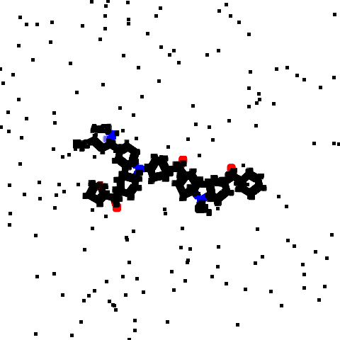 CC=C/C(=N\OC(C)=O)c1ccc2c(c1)c1cc(C(=O)c3cccs3)ccc1n2-c1ccc(C(=O)c2ccc3c(c2)c2cc(C(=O)c4ccccc4)ccc2n3C)cc1